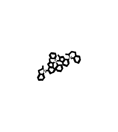 CC1=Cc2c(cccc2N2c3ccccc3CCC2C)C1S(c1ccccc1)(c1ccccc1)C1C(C)=Cc2c1cccc2N1c2ccccc2CC1C